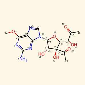 COc1nc(N)nc2c1ncn2[C@@H]1O[C@H](C(O)C(C)=O)[C@](O)(C(C)=O)[C@@H]1O